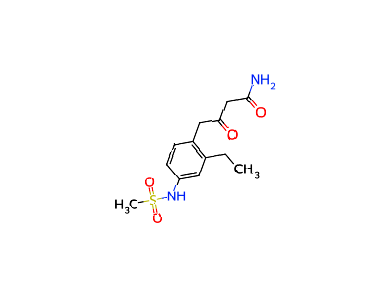 CCc1cc(NS(C)(=O)=O)ccc1CC(=O)CC(N)=O